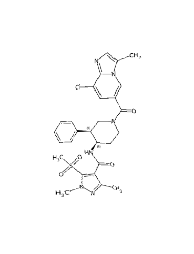 Cc1nn(C)c(S(C)(=O)=O)c1C(=O)N[C@@H]1CCN(C(=O)c2cc(Cl)c3ncc(C)n3c2)C[C@@H]1c1ccccc1